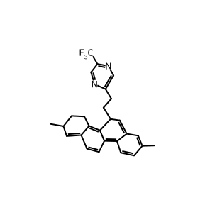 Cc1ccc2c(c1)=CC(CCc1cnc(C(F)(F)F)cn1)c1c3c(ccc1=2)=CC(C)CC3